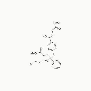 COC(=O)CCC(O)c1ccc(SC(CCC(=O)OC)(SCCCBr)c2ccccc2)cc1